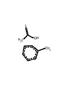 CC(O)=S.Cc1ccccc1